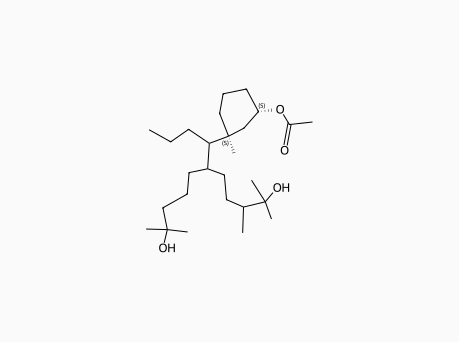 CCCC(C(CCCC(C)(C)O)CCC(C)C(C)(C)O)[C@@]1(C)CCC[C@H](OC(C)=O)C1